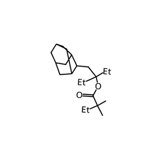 CCC(CC)(CC1C2CC3CC(C2)CC1C3)OC(=O)C(C)(C)CC